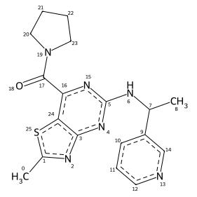 Cc1nc2nc(NC(C)c3cccnc3)nc(C(=O)N3CCCC3)c2s1